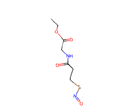 CCOC(=O)CNC(=O)CCSN=O